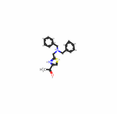 CC(=O)c1csc(CN(Cc2ccccc2)Cc2ccccc2)n1